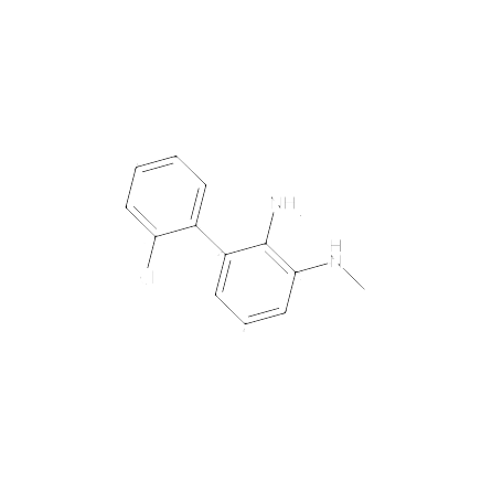 CNc1cccc(-c2ccccc2Cl)c1N